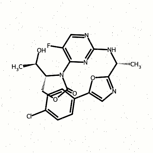 C[C@@H](Nc1ncc(F)c(N2C(=O)OC[C@@H]2[C@@H](C)O)n1)c1ncc(-c2ccc(Cl)cc2)o1